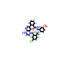 COc1cccc(CNC(=O)c2ccccc2-c2cnc3c(c2)N(Cc2cc(Cl)ccc2C(F)(F)F)CCN3)c1